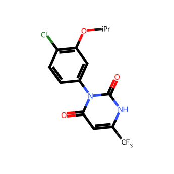 CC(C)Oc1cc(-n2c(=O)cc(C(F)(F)F)[nH]c2=O)ccc1Cl